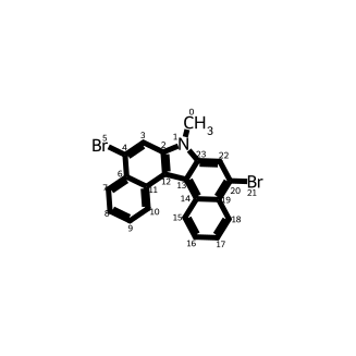 Cn1c2cc(Br)c3ccccc3c2c2c3ccccc3c(Br)cc21